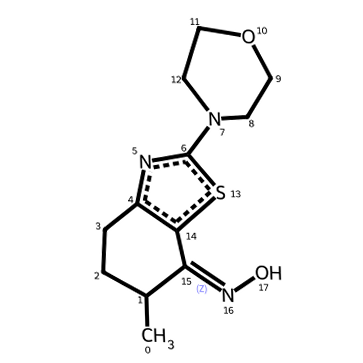 CC1CCc2nc(N3CCOCC3)sc2/C1=N\O